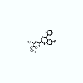 COC(=O)C(C)=NNC1=Nc2ccc(F)cc2C(c2ccccn2)=NC1